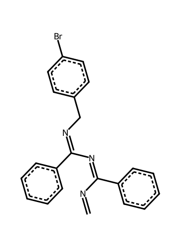 C=N/C(=N\C(=N/Cc1ccc(Br)cc1)c1ccccc1)c1ccccc1